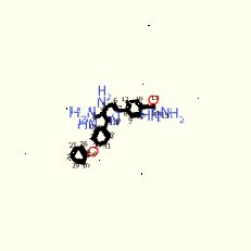 N=C(N)c1c(N)cc(-c2ccc(C(=O)NN)cc2)nc1-c1ccc(Oc2ccccc2)cc1